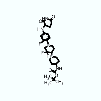 CC(C)(C)OC(=O)NC1CCN(C2CCN(c3ccc(NC4CCC(=O)NC4=O)cc3F)CC2(F)F)CC1